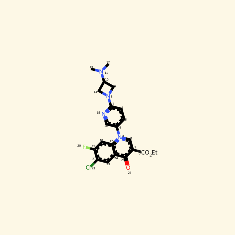 CCOC(=O)c1cn(-c2ccc(N3CC(N(C)C)C3)nc2)c2cc(F)c(Cl)cc2c1=O